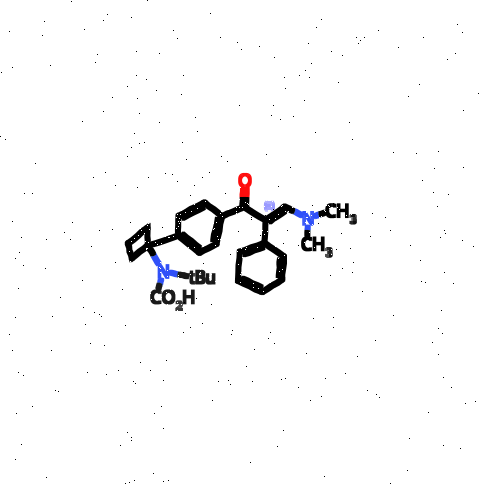 CN(C)/C=C(/C(=O)c1ccc(C2(N(C(=O)O)C(C)(C)C)CCC2)cc1)c1ccccc1